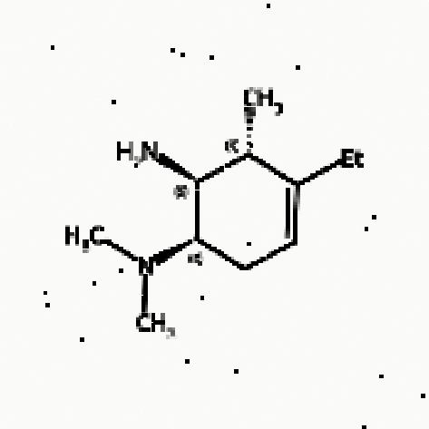 CCC1=CC[C@@H](N(C)C)[C@@H](N)[C@@H]1C